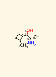 CC1CCC1C(O)[C@H](C)N